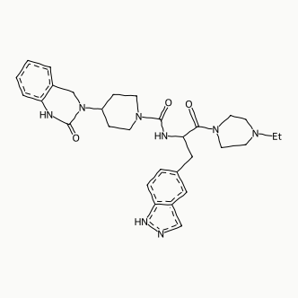 CCN1CCN(C(=O)C(Cc2ccc3[nH]ncc3c2)NC(=O)N2CCC(N3Cc4ccccc4NC3=O)CC2)CC1